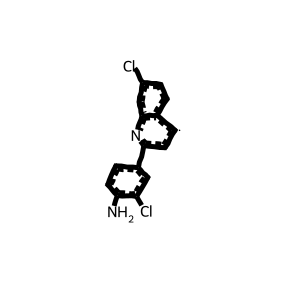 Nc1ccc(-c2c[c]c3ccc(Cl)cc3n2)cc1Cl